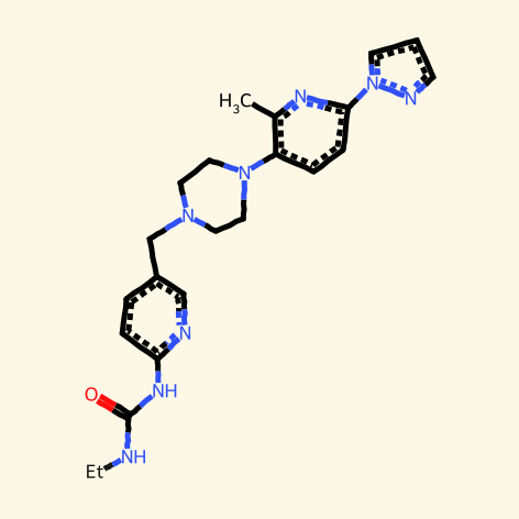 CCNC(=O)Nc1ccc(CN2CCN(c3ccc(-n4cccn4)nc3C)CC2)cn1